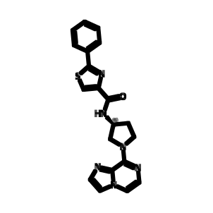 O=C(N[C@H]1CCN(c2nccn3ccnc23)C1)c1csc(-c2ccccc2)n1